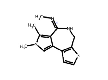 C/N=C1/NCc2sccc2-c2cn(C)c(C)c21